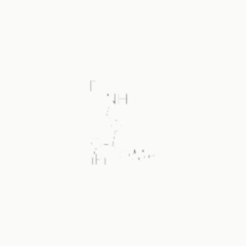 CCNCOC(OC)OC(C)C